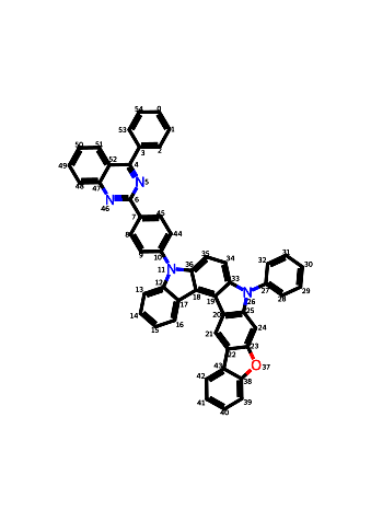 c1ccc(-c2nc(-c3ccc(-n4c5ccccc5c5c6c7cc8c(cc7n(-c7ccccc7)c6ccc54)oc4ccccc48)cc3)nc3ccccc23)cc1